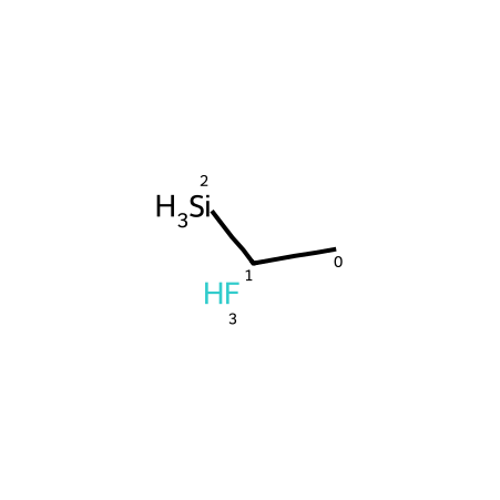 CC[SiH3].F